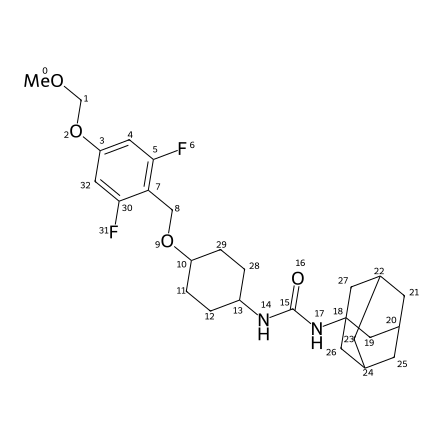 COCOc1cc(F)c(COC2CCC(NC(=O)NC34CC5CC(CC(C5)C3)C4)CC2)c(F)c1